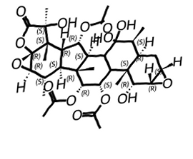 CC(=O)O[C@H]1[C@@H]2[C@H]([C@H](C)[C@H]3O[C@]34OC(=O)[C@@](C)(O)[C@]24C)[C@]2(C)[C@@H]1C1C([C@H](OC(C)=O)[C@@H]2OC(C)=O)[C@]2(C)[C@H](C[C@@H]3O[C@@H]3[C@@H]2O)[C@H](C)C1(O)O